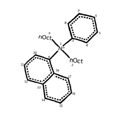 CCCCCCCC[N+](CCCCCCCC)(c1ccccc1)c1cccc2ccccc12